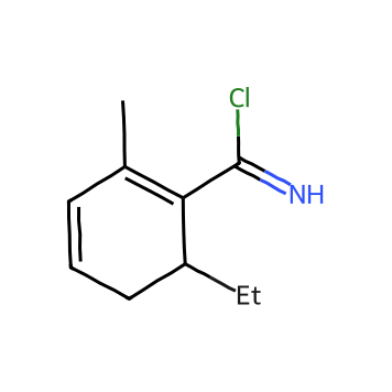 CCC1CC=CC(C)=C1C(=N)Cl